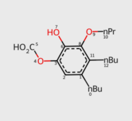 CCCCc1cc(OC(=O)O)c(O)c(OCCC)c1CCCC